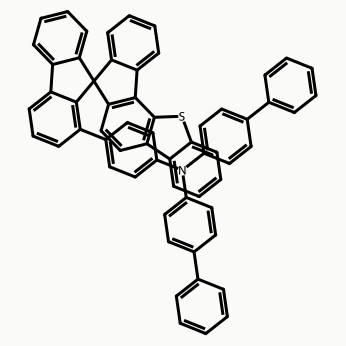 c1ccc(-c2ccc(N(c3ccc(-c4ccccc4)cc3)c3ccc(-c4cccc5c4C4(c6ccccc6-5)c5ccccc5-c5c4ccc4c5sc5ccccc54)cc3)cc2)cc1